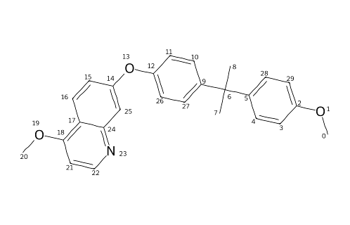 COc1ccc(C(C)(C)c2ccc(Oc3ccc4c(OC)ccnc4c3)cc2)cc1